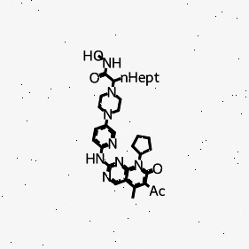 CCCCCCCC(C(=O)NO)N1CCN(c2ccc(Nc3ncc4c(C)c(C(C)=O)c(=O)n(C5CCCC5)c4n3)nc2)CC1